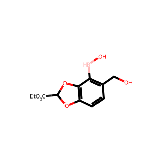 CCOC(=O)C1Oc2ccc(CO)c(BO)c2O1